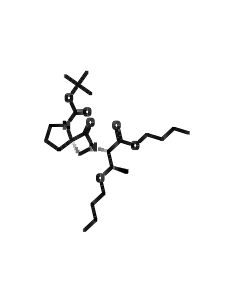 CCCCOC(=O)[C@H]([C@@H](C)OCCCC)N1C[C@@]2(CCCN2C(=O)OC(C)(C)C)C1=O